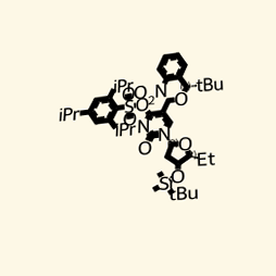 CC[C@H]1O[C@@H](n2cc(CO[C@H](c3ccccc3[N+](=O)[O-])C(C)(C)C)c(OS(=O)(=O)c3c(C(C)C)cc(C(C)C)cc3C(C)C)nc2=O)CC1O[Si](C)(C)C(C)(C)C